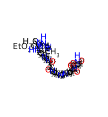 CCOC(=O)c1c(C)nc(Nc2cnn(C)c2)nc1NC1CCC(N2CCN(C(=O)CCC(=O)N3CCC(CN4CCN(c5ccc6c(c5)C(=O)N(C5CCC(=O)NC5=O)C6=O)CC4)CC3)CC2)CC1